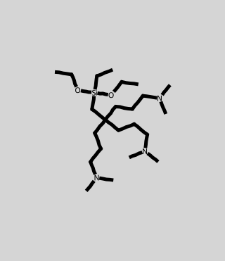 CCO[Si](CC)(CC(CCCN(C)C)(CCCN(C)C)CCCN(C)C)OCC